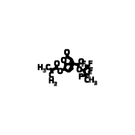 C=C(C)C(=O)OC1C2CC3C1OC(=O)C3C2C(=O)OC(C(C)(F)F)C(F)(F)F